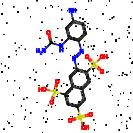 [NH]c1ccc(N=Nc2cc3c(S(=O)(=O)O)cc(S(=O)(=O)O)cc3cc2S(=O)(=O)O)c(NC(N)=O)c1